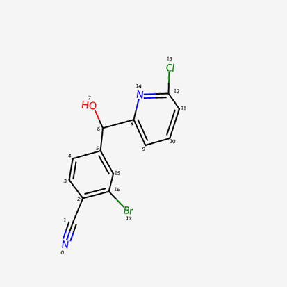 N#Cc1ccc(C(O)c2cccc(Cl)n2)cc1Br